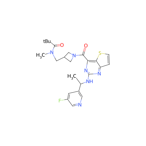 CC(Nc1nc(C(=O)N2CC(CN(C)C(=O)C(C)(C)C)C2)c2sccc2n1)c1cncc(F)c1